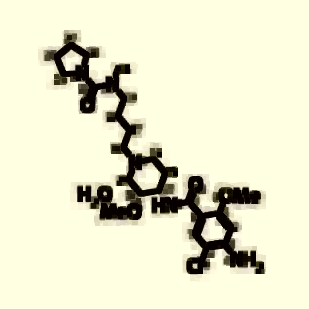 COc1cc(N)c(Cl)cc1C(=O)N[C@H]1CCN(CCCCN(C)C(=O)N2CCCC2)C[C@H]1OC.O